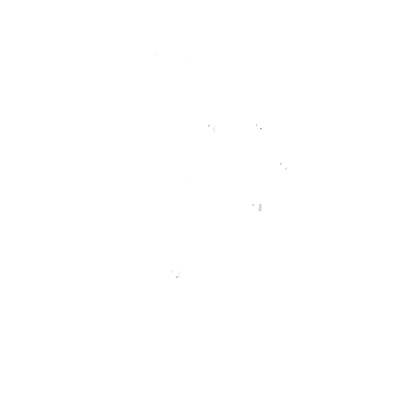 COCCNc1ncnc2[nH]cc(C(=O)c3c(F)ccc(NSc4ccccc4F)c3F)c12